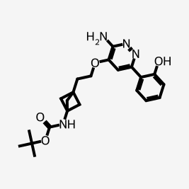 CC(C)(C)OC(=O)NC12CC(CCOc3cc(-c4ccccc4O)nnc3N)(C1)C2